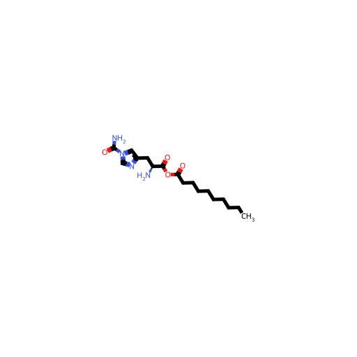 CCCCCCCCCC(=O)OC(=O)[C@@H](N)Cc1cn(C(N)=O)cn1